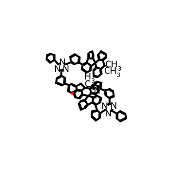 CC1(C)c2ccccc2C2(c3ccccc3-c3c(-c4cccc(-c5nc(-c6ccccc6)nc(-c6cccc(-c7cccc(CC8(C)c9ccccc9C9(c%10ccccc%10-c%10c(-c%11ccccc%11-c%11nc(-c%12ccccc%12)nc(-c%12cccc(-c%13ccccn%13)c%12)n%11)cccc%109)c9ccccc98)c7)c6)n5)c4)cccc32)c2ccccc21